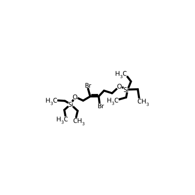 CC[Si](CC)(CC)OCCC(Br)=C(Br)CO[Si](CC)(CC)CC